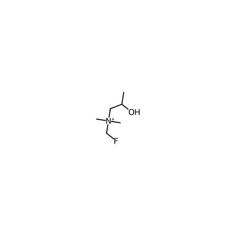 CC(O)C[N+](C)(C)CF